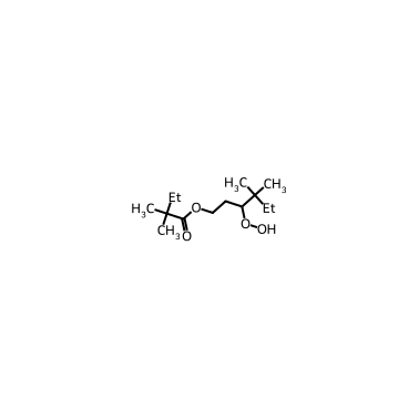 CCC(C)(C)C(=O)OCCC(OO)C(C)(C)CC